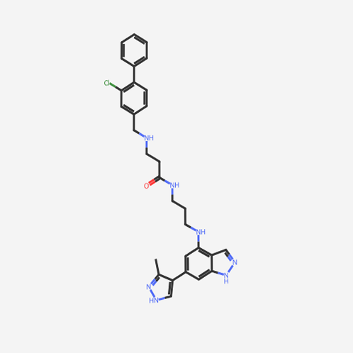 Cc1n[nH]cc1-c1cc(NCCCNC(=O)CCNCc2ccc(-c3ccccc3)c(Cl)c2)c2cn[nH]c2c1